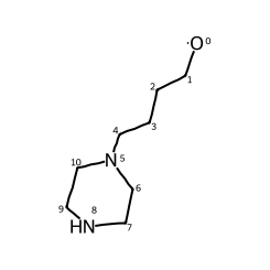 [O]CCCCN1CCNCC1